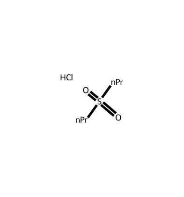 CCCS(=O)(=O)CCC.Cl